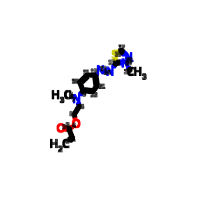 C=CC(=O)OCCN(C)c1ccc(/N=N/c2scn[n+]2C)cc1